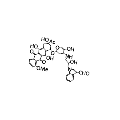 COc1cccc2c1C(=O)c1c(O)c3c(c(O)c1C2=O)CC(O)(C(C)=O)CC3OC1CC(NCC(O)Cn2cc(C=O)c3ccccc32)C(O)=CO1